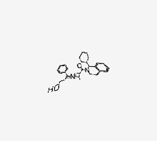 O=C(CCN[C@@H](CCO)c1ccccc1)N1CCc2ccccc2C1C1CCCCC1